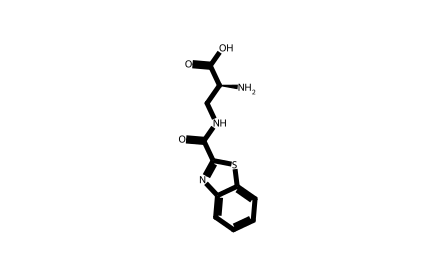 N[C@@H](CNC(=O)c1nc2ccccc2s1)C(=O)O